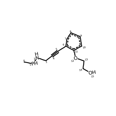 CPNCC#Cc1ccccc1OCCO